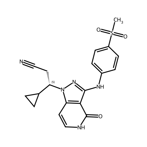 CS(=O)(=O)c1ccc(Nc2nn([C@@H](CC#N)C3CC3)c3cc[nH]c(=O)c23)cc1